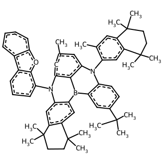 Cc1cc2c3c(c1)N(c1cccc4c1oc1ccccc14)c1cc4c(cc1B3c1cc(C(C)(C)C)ccc1N2c1cc2c(cc1C)C(C)(C)CCC2(C)C)C(C)(C)CCC4(C)C